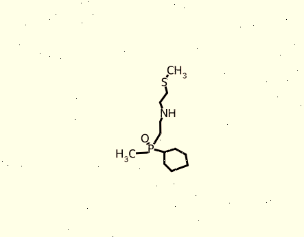 CCP(=O)(CCNCCSC)C1CCCCC1